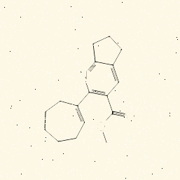 COC(=O)c1cc2c(nc1C1=CCCCCC1)CCC2